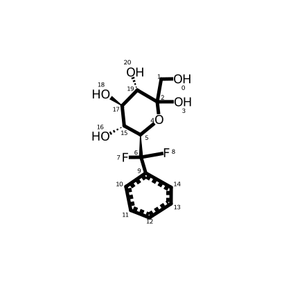 OCC1(O)O[C@@H](C(F)(F)c2ccccc2)[C@H](O)[C@@H](O)[C@@H]1O